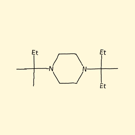 CCC(C)(C)N1CCN(C(C)(CC)CC)CC1